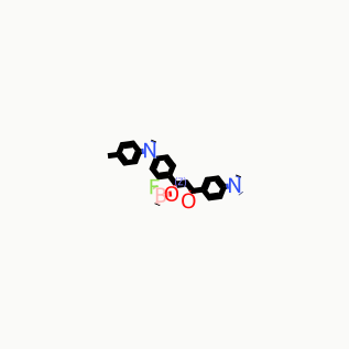 CB(F)O/C(=C\C(=O)c1ccc(N(C)C)cc1)c1ccc(N(C)c2ccc(C)cc2)cc1